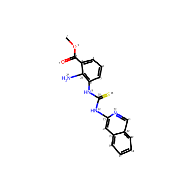 COC(=O)c1cccc(NC(=S)Nc2cc3ccccc3cn2)c1N